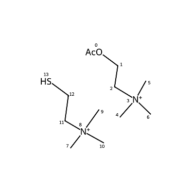 CC(=O)OCC[N+](C)(C)C.C[N+](C)(C)CCS